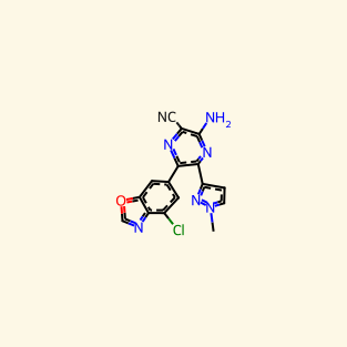 Cn1ccc(-c2nc(N)c(C#N)nc2-c2cc(Cl)c3ncoc3c2)n1